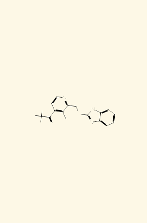 Cc1c(C(=O)C(F)(F)F)ccnc1CSc1nc2ccccc2[nH]1